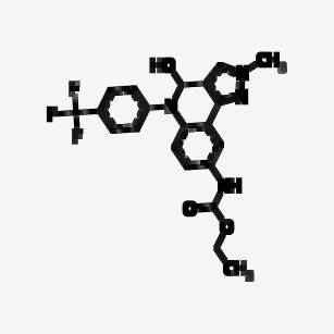 CCOC(=O)Nc1ccc2c(c1)-c1nn(C)cc1C(O)N2c1ccc(C(F)(F)F)cc1